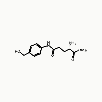 COC(=O)[C@@H](N)CCC(=O)Nc1ccc(CO)cc1